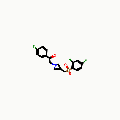 O=C(CN1CC(CS(=O)(=O)c2ccc(F)cc2F)C1)c1ccc(F)cc1